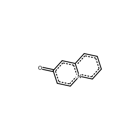 O=c1ccn2ccccc2c1